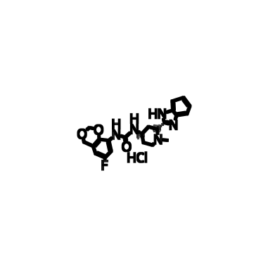 CN1CC[C@@H](NC(=O)Nc2cc(F)cc3c2OCOC3)C[C@@H]1c1nc2ccccc2[nH]1.Cl